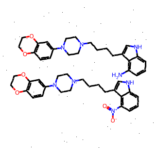 Nc1cccc2[nH]cc(CCCCN3CCN(c4ccc5c(c4)OCCO5)CC3)c12.O=[N+]([O-])c1cccc2[nH]cc(CCCCN3CCN(c4ccc5c(c4)OCCO5)CC3)c12